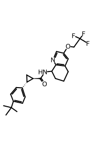 CC(C)(C)c1ccc([C@@H]2C[C@H]2C(=O)NC2CCCc3cc(OCC(F)(F)F)cnc32)cc1